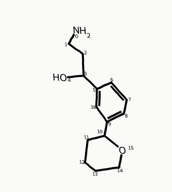 NCCC(O)c1cccc(C2CCCCO2)c1